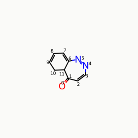 O=C1C=CN=NC2=CC=CCC12